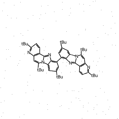 CC(C)(C)c1cc(-c2cc(C(C)(C)C)cc3c2nc2c4ccc(C(C)(C)C)nc4cc(C(C)(C)C)n32)c2nc3c4ccc(C(C)(C)C)nc4cc(C(C)(C)C)n3c2c1